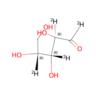 [2H]C(=O)[C@]([2H])(O)[C@]([2H])(O)[C@]([2H])(O)CO